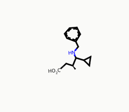 C[C@@H](CC(=O)O)C(NCc1ccccc1)C1CC1